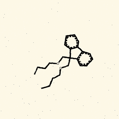 CCCCOCC1(COCCCC)c2ccccc2-c2ccccc21